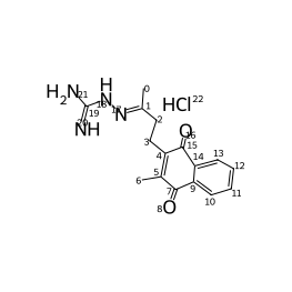 CC(CCC1=C(C)C(=O)c2ccccc2C1=O)=NNC(=N)N.Cl